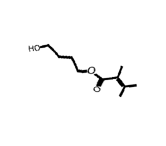 CC(C)=C(C)C(=O)OCCCCO